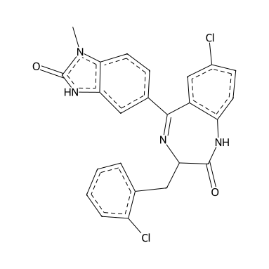 Cn1c(=O)[nH]c2cc(C3=NC(Cc4ccccc4Cl)C(=O)Nc4ccc(Cl)cc43)ccc21